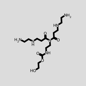 NCCNCCC(=O)N(CCNC(=O)OCCO)C(=O)CCNCCN